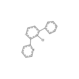 Clc1c(-c2ccccn2)[c]ccc1-c1ccccc1